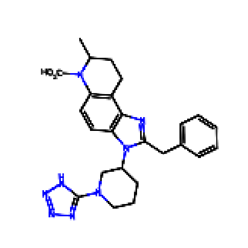 CC1CCc2c(ccc3c2nc(Cc2ccccc2)n3C2CCCN(c3nnn[nH]3)C2)N1C(=O)O